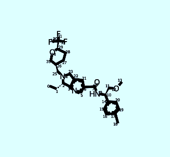 CC[C@H]1c2ncc(C(=O)N[C@@H](COC)c3ccc(C)cc3)cc2CN1C[C@@H]1CC[C@H](C(F)(F)F)OC1